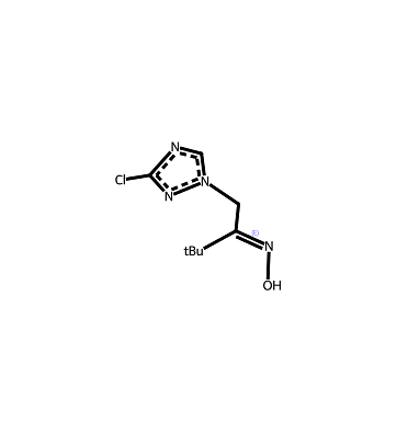 CC(C)(C)/C(Cn1cnc(Cl)n1)=N\O